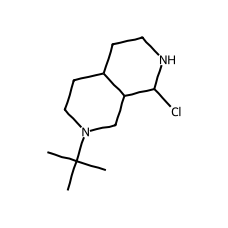 CC(C)(C)N1CCC2CCNC(Cl)C2C1